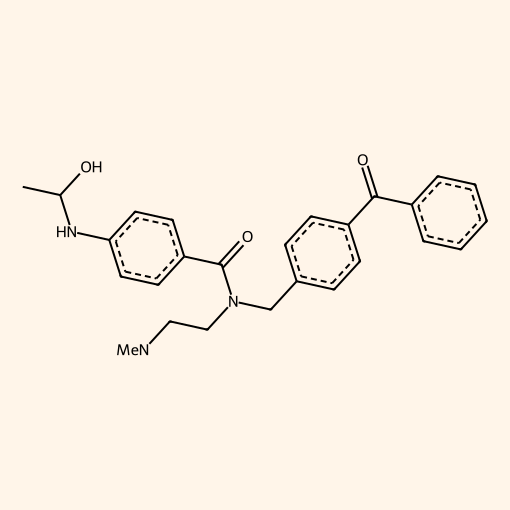 CNCCN(Cc1ccc(C(=O)c2ccccc2)cc1)C(=O)c1ccc(NC(C)O)cc1